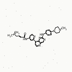 CN(C)C/C=C/C(=O)Nc1ccnc(-c2ccnc3cnc(Nc4ccc(N5CCN(C)CC5)cc4)nc23)c1